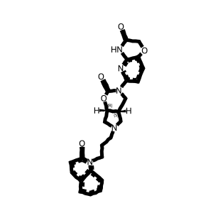 O=C1COc2ccc(N3C[C@@H]4CN(CCCn5c(=O)ccc6ccccc65)C[C@@H]4OC3=O)nc2N1